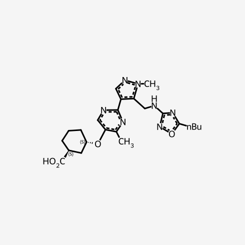 CCCCc1nc(NCc2c(-c3ncc(O[C@H]4CCC[C@H](C(=O)O)C4)c(C)n3)cnn2C)no1